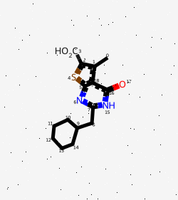 Cc1c(C(=O)O)sc2nc(CC3CCCCC3)[nH]c(=O)c12